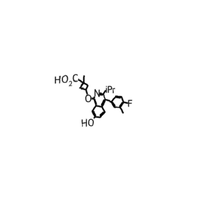 Cc1cc(-c2c(C(C)C)nc(OC3CC(C)(C(=O)O)C3)c3cc(O)ccc23)ccc1F